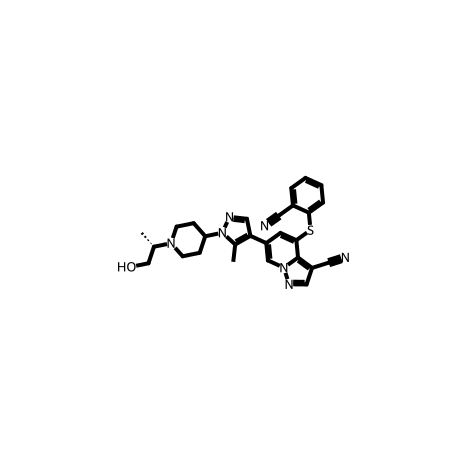 Cc1c(-c2cc(Sc3ccccc3C#N)c3c(C#N)cnn3c2)cnn1C1CCN([C@@H](C)CO)CC1